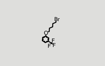 FC(F)(F)c1cccc(OCCCCCBr)c1